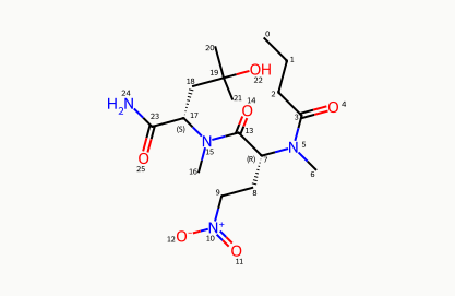 CCCC(=O)N(C)[C@H](CC[N+](=O)[O-])C(=O)N(C)[C@@H](CC(C)(C)O)C(N)=O